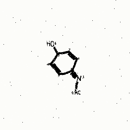 CC(=O)N=C1C=CC(O)C=C1